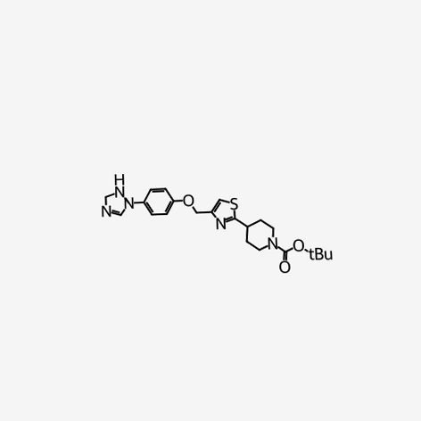 CC(C)(C)OC(=O)N1CCC(c2nc(COc3ccc(N4C=NCN4)cc3)cs2)CC1